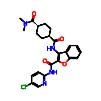 CN(C)C(=O)[C@H]1CC[C@H](C(=O)Nc2c(C(=O)Nc3ccc(Cl)cn3)oc3ccccc23)CC1